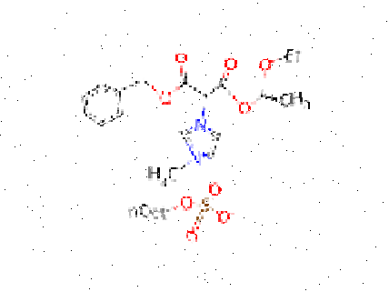 CCCCCCCCOS(=O)(=O)[O-].CCO[C@@H](C)OC(=O)C(C(=O)OCc1ccccc1)n1cc[n+](C)c1